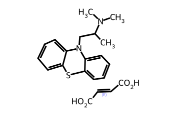 CC(CN1c2ccccc2Sc2ccccc21)N(C)C.O=C(O)/C=C/C(=O)O